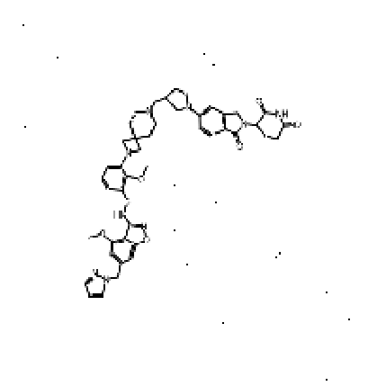 COc1c(SNc2noc3cc(Cn4cccn4)cc(OC)c23)cccc1N1CC2(CCN(CC3CCN(c4ccc5c(c4)CN(C4CCC(=O)NC4=O)C5=O)C3)CC2)C1